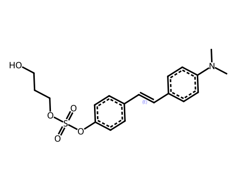 CN(C)c1ccc(/C=C/c2ccc(OS(=O)(=O)OCCCO)cc2)cc1